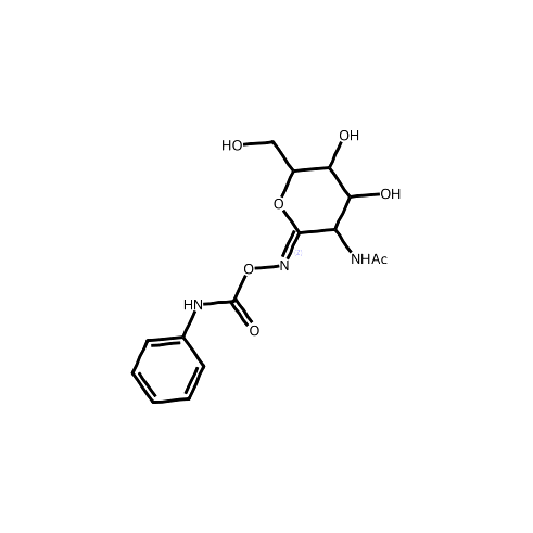 CC(=O)NC1/C(=N/OC(=O)Nc2ccccc2)OC(CO)C(O)C1O